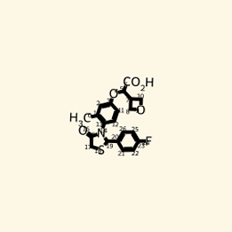 Cc1cc(OC(C(=O)O)C2COC2)ccc1N1C(=O)CSC1c1ccc(F)cc1